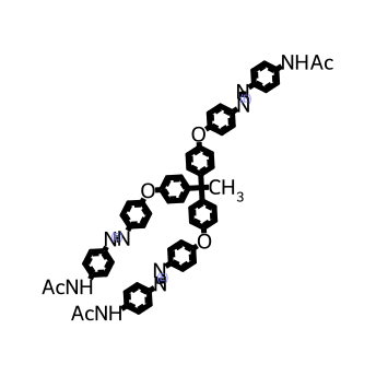 CC(=O)Nc1ccc(/N=N/c2ccc(Oc3ccc(C(C)(c4ccc(Oc5ccc(/N=N/c6ccc(NC(C)=O)cc6)cc5)cc4)c4ccc(Oc5ccc(/N=N/c6ccc(NC(C)=O)cc6)cc5)cc4)cc3)cc2)cc1